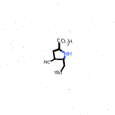 CC(C)(C)CC1NC(C(=O)O)CC1C#N